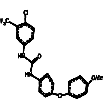 COc1ccc(Oc2ccc(NC(=O)Nc3ccc(Cl)c(C(F)(F)F)c3)cc2)cc1